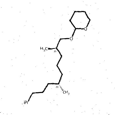 CC(C)CCC[C@@H](C)CCC[C@@H](C)COC1CCCCO1